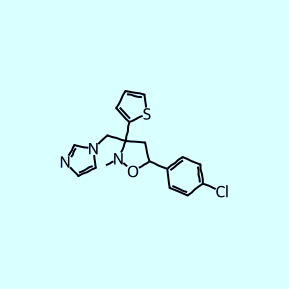 CN1OC(c2ccc(Cl)cc2)CC1(Cn1ccnc1)c1cccs1